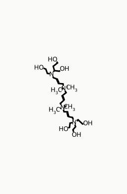 C[N+](C)(C/C=C/CN(CCO)C(CO)CCO)C/C=C/C[N+](C)(C)C/C=C/C[N+](CCO)(CCO)CCO